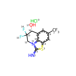 Cl.N=c1sc2cc(C(F)(F)F)cc3c2n1CC(F)(F)[C@@H]3O